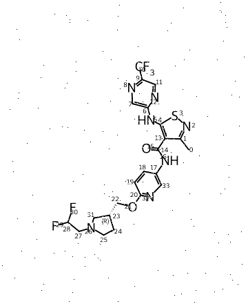 Cc1nsc(Nc2cnc(C(F)(F)F)cn2)c1C(=O)Nc1ccc(OC[C@@H]2CCN(CC(F)F)C2)nc1